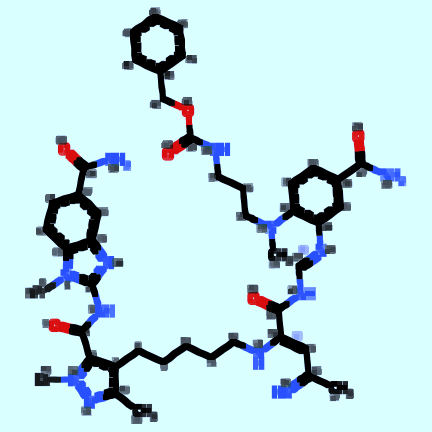 CCCn1c(NC(=O)c2c(CCCCCN/C(=C\C(C)=N)C(=O)N/C=N/c3cc(C(N)=O)ccc3N(C)CCCNC(=O)OCc3ccccc3)c(C)nn2CC)nc2cc(C(N)=O)ccc21